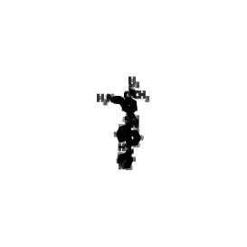 CC(C)Oc1ccc(-c2nnc(-c3cccc4c3CCC[C@@H]4NCc3ccncc3)s2)cc1C#CN